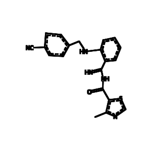 Cc1ncsc1C(=O)NC(=N)c1ccccc1NCc1ccc(C#N)cc1